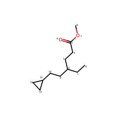 CCC(CCC(=O)OC)CCC1CC1